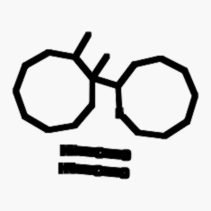 CC1CCCCCCCC1(C)C1CCCCCCCS1.N=C=O.N=C=O